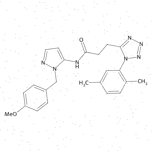 COc1ccc(Cn2nccc2NC(=O)CCc2nnnn2-c2cc(C)ccc2C)cc1